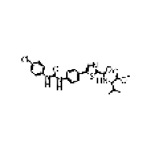 COC(=O)[C@@H](NC(=O)c1ncc(-c2ccc(NC(=O)Nc3ccc(Cl)cc3)cc2)s1)C(C)C